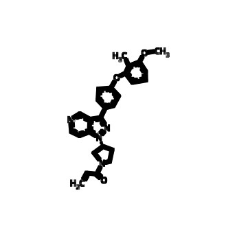 C=CC(=O)N1CC[C@@H](n2nc(-c3ccc(Oc4cccc(OC)c4C)cc3)c3cnccc32)C1